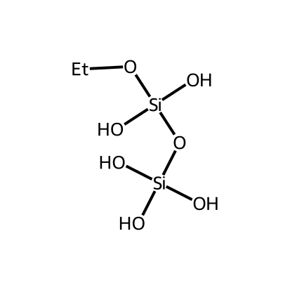 CCO[Si](O)(O)O[Si](O)(O)O